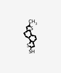 Cc1cc2ccc3c(ccc4cc(S)sc43)c2s1